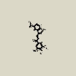 COc1cc(C(=O)C=Cc2cn(C)c3ccc(N(C)C)cc23)cc(OC)c1OC